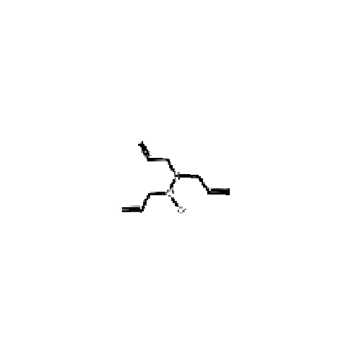 C=CCN(CC=C)[S+]([O-])CC=C